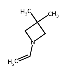 C=CN1CC(C)(C)C1